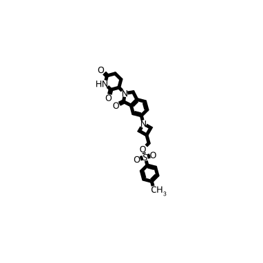 Cc1ccc(S(=O)(=O)OCC2CN(c3ccc4c(c3)C(=O)N(C3CCC(=O)NC3=O)C4)C2)cc1